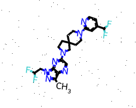 Cc1nn(CC(F)F)c2nc(N3CCC4(CCN(c5cc(C(F)F)ccn5)CC4)C3)cnc12